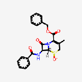 CC1=C(C(=O)OCc2ccccc2)N2C(=O)C(NC(=O)c3ccccc3)[C@H]2[S+]([O-])C1